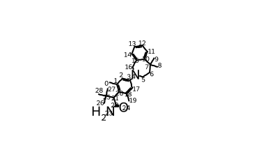 Cc1cc(N2CCC(C)(C)c3ccccc3C2)cc(C)c1C(C(N)=O)C(C)(C)C